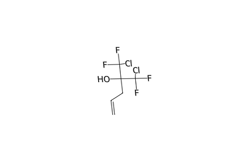 C=CCC(O)(C(F)(F)Cl)C(F)(F)Cl